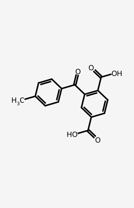 Cc1ccc(C(=O)c2cc(C(=O)O)ccc2C(=O)O)cc1